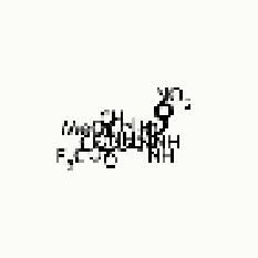 COC(C)(C)C(=O)NC(CCCNC(=N)NC(=O)Cc1ccc([N+](=O)[O-])cc1)C(=O)COC(C(F)(F)F)C(F)(F)F